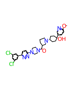 COc1ccc([C@]2(O)CC[C@@H](N3CCCC(C(=O)N4CCN(c5ccc(-c6cc(Cl)cc(Cl)c6)nn5)CC4)C3)CC2)cn1